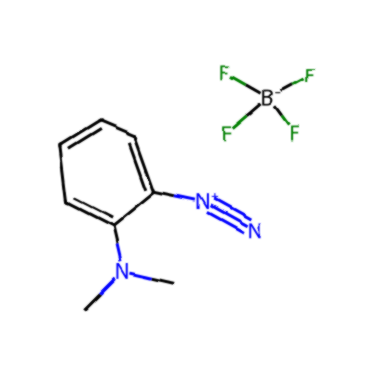 CN(C)c1ccccc1[N+]#N.F[B-](F)(F)F